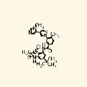 COc1c(NC(=O)c2ccc(C)c(-n3cc(-c4cncn4C)cn3)c2)cc(C(C)(C)C)cc1NS(C)(=O)=O